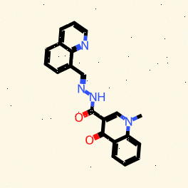 Cn1cc(C(=O)NN=Cc2cccc3cccnc23)c(=O)c2ccccc21